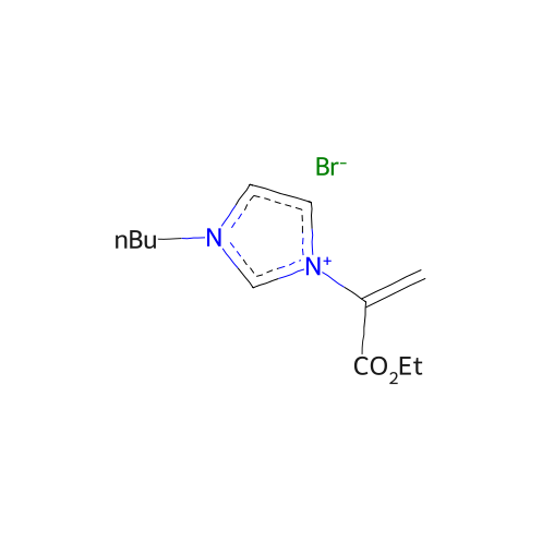 C=C(C(=O)OCC)[n+]1ccn(CCCC)c1.[Br-]